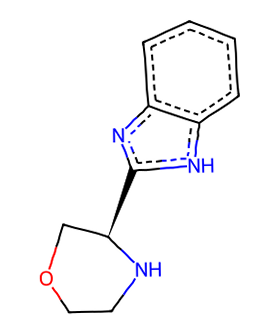 c1ccc2[nH]c([C@@H]3COCCN3)nc2c1